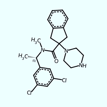 C[C@@H](c1cc(Cl)cc(Cl)c1)N(C)C(=O)C1(N2CCNCC2)Cc2ccccc2C1